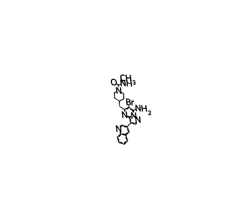 CNC(=O)N1CCC(Cc2nc3c(-c4cnc5ccccc5c4)cnn3c(N)c2Br)CC1